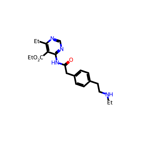 CCNCCc1ccc(CC(=O)Nc2ncnc(CC)c2C(=O)OCC)cc1